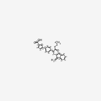 CCCC(=O)N(Cc1nc2ccccc2n1C)c1ccc(-c2ccc(C(=O)O)o2)cc1